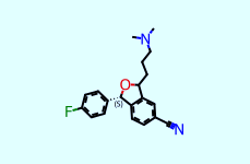 CN(C)CCCC1O[C@@H](c2ccc(F)cc2)c2ccc(C#N)cc21